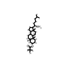 CC(C)CCC[C@@H](N)C1CCC2C3CC[C@H]4C[C@@H](OC(=O)C(C)(C)C)CCC4(C)C3CCC21C